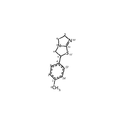 Cc1ccc(C2CN3CCN=C3S2)cc1